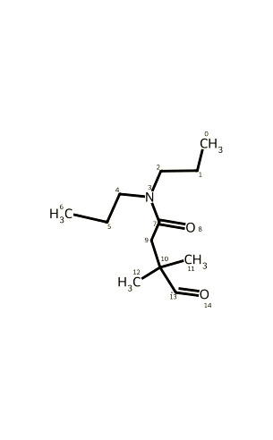 CCCN(CCC)C(=O)CC(C)(C)[C]=O